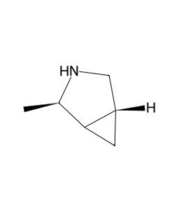 C[C@H]1NC[C@@H]2CC21